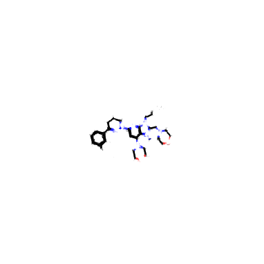 COCCN1c2nc(N3CCCC(c4cccc(C)c4)=N3)cc(N3CCOCC3)c2N(C=O)C1CN1CCOCC1